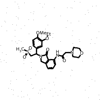 CCOc1cc(C(CS(C)(=O)=O)N2Cc3cccc(NC(=O)CN4CCOCC4)c3C2=O)ccc1OC